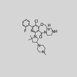 CN1CCN(C2CN(c3nc(-c4ccccc4F)c(Cl)c4c3C(=O)N3CCNC[C@@H]3CO4)C(C)(C)C2)CC1